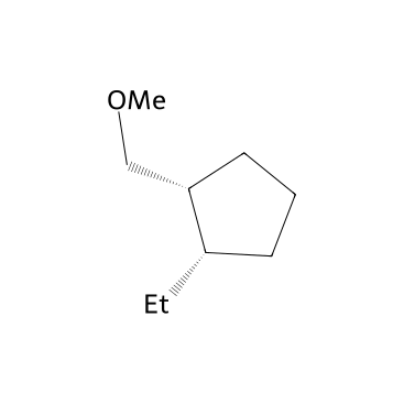 CC[C@H]1CCC[C@H]1COC